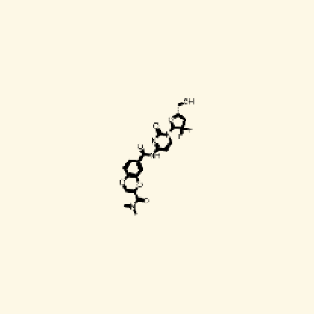 CN(C)C(=O)C1COc2ccc(C(=O)Nc3ccn(C4O[C@H](CO)CC4(F)F)c(=O)n3)cc2O1